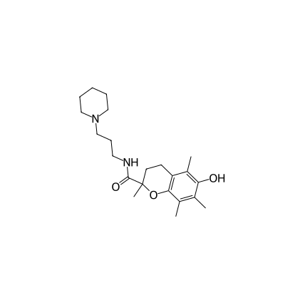 Cc1c(C)c2c(c(C)c1O)CCC(C)(C(=O)NCCCN1CCCCC1)O2